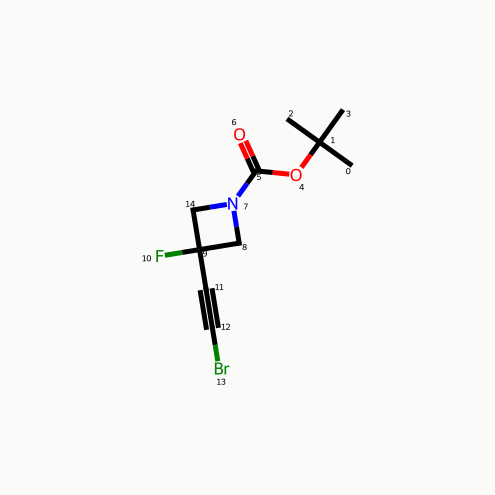 CC(C)(C)OC(=O)N1CC(F)(C#CBr)C1